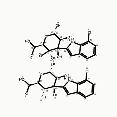 OC(Cl)[C@H]1O[C@H](O)[C@@H](O)[C@](O)(c2cc3cccc(Cl)c3[nH]2)[C@@H]1O.OC(Cl)[C@H]1O[C@H](O)[C@@H](O)[C@](O)(c2cc3cccc(Cl)c3[nH]2)[C@@]1(O)Cl